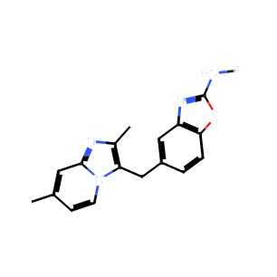 CCNc1nc2cc(Cc3c(C)nc4cc(C)ccn34)ccc2o1